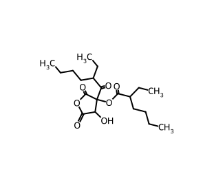 CCCCC(CC)C(=O)OC1(C(=O)C(CC)CCCC)C(=O)OC(=O)C1O